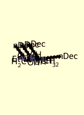 C=C(/C=C(\C=C(/C)CC)CCCCCCCCCCCCCCCCCC)Cc1cc(CCCCCCCCCCCCCCCCCC)c(=C\C)/c(=C\c2cc(CCCCCCCCCCCCCCCCCC)cc(CC/C(C)=C/C(=C)CCCCCCCCCCCCCCCCCC)c2O)c1O